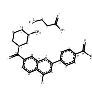 CCCC(=O)O.C[C@H]1CN(C(=O)c2ccc3c(Cl)cc(-c4ccc(C(N)=O)cc4)nc3c2)CCN1